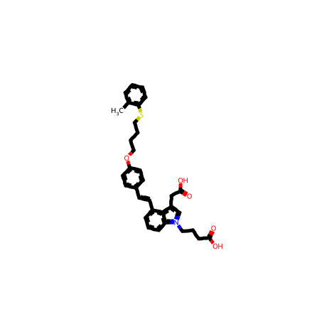 Cc1ccccc1SCCCCOc1ccc(C=Cc2cccc3c2c(CC(=O)O)cn3CCCC(=O)O)cc1